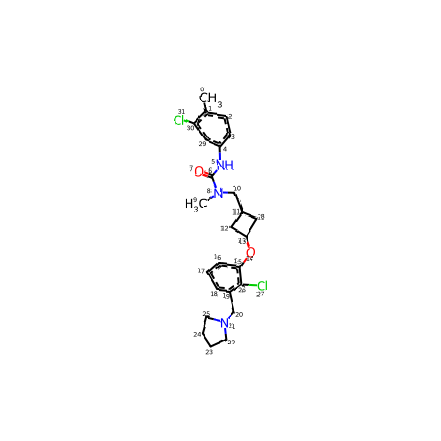 Cc1ccc(NC(=O)N(C)CC2CC(Oc3cccc(CN4CCCC4)c3Cl)C2)cc1Cl